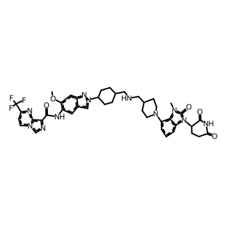 COc1cc2nn(C3CCC(CNCC4CCN(c5cccc6c5n(C)c(=O)n6C5CCC(=O)NC5=O)CC4)CC3)cc2cc1NC(=O)c1ncn2ccc(C(F)(F)F)nc12